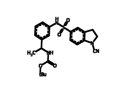 CC(NC(=O)OC(C)(C)C)c1cccc(NS(=O)(=O)c2ccc3c(c2)CCN3C#N)c1